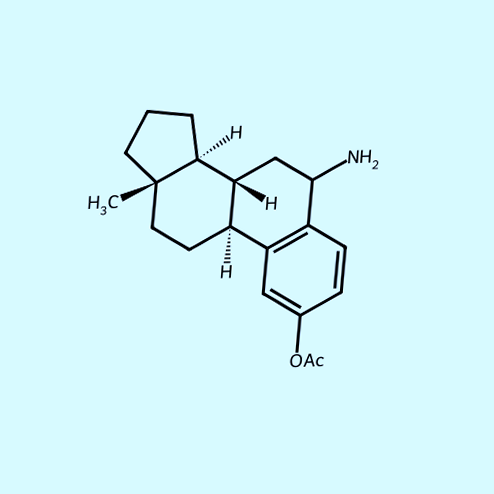 CC(=O)Oc1ccc2c(c1)[C@H]1CC[C@]3(C)CCC[C@H]3[C@@H]1CC2N